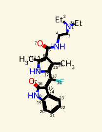 CCN(CC)CCNC(=O)c1c(C)[nH]c(C(F)=C2C(=O)Nc3ccccc32)c1C